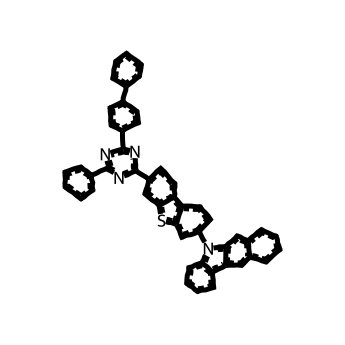 c1ccc(-c2ccc(-c3nc(-c4ccccc4)nc(-c4ccc5c(c4)sc4cc(-n6c7ccccc7c7cc8ccccc8cc76)ccc45)n3)cc2)cc1